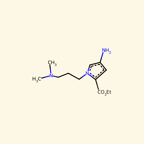 CCOC(=O)c1cc(N)cn1CCCN(C)C